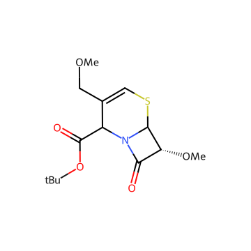 COCC1=CSC2[C@H](OC)C(=O)N2C1C(=O)OC(C)(C)C